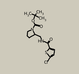 CC(C)(C)OC(=O)N1CCCC1CNC(=O)c1ccc(Cl)s1